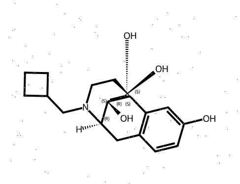 Oc1ccc2c(c1)[C@]13CCN(CC4CCC4)[C@H](C2)[C@]1(O)CC[C@H](O)[C@@H]3O